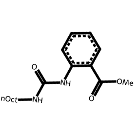 CCCCCCCCNC(=O)Nc1ccccc1C(=O)OC